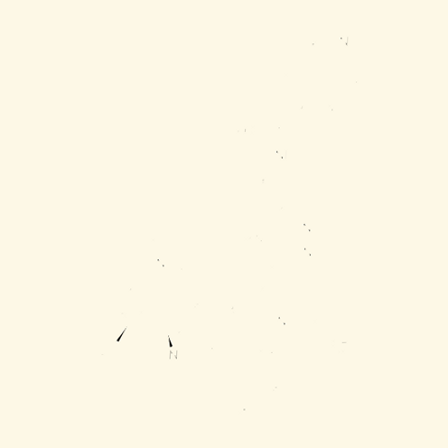 CN1CCC(C(=O)NCc2nnc(-c3cc4c(N(C)[C@@H]5CCN(C)C[C@@H]5F)cccc4n3CC(F)(F)F)s2)CC1